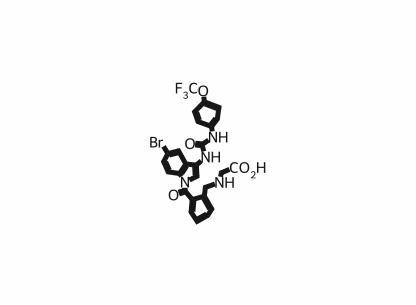 O=C(O)CNCc1ccccc1C(=O)n1cc(NC(=O)Nc2ccc(OC(F)(F)F)cc2)c2cc(Br)ccc21